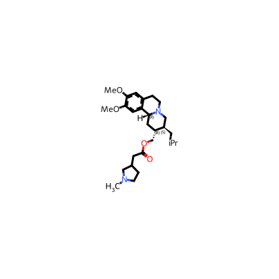 COc1cc2c(cc1OC)[C@H]1C[C@@H](COC(=O)CC3CCN(C)C3)[C@H](CC(C)C)CN1CC2